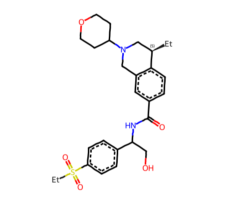 CC[C@@H]1CN(C2CCOCC2)Cc2cc(C(=O)NC(CO)c3ccc(S(=O)(=O)CC)cc3)ccc21